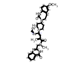 C=C(/C=C(\N=C/N)N1CCC(N2CCc3cc(OC)ccc3NC2=O)CC1)C(=O)N(C)Cc1nc2ccccc2c(=O)[nH]1